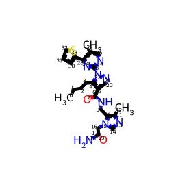 CCCCc1c(C(=O)NCc2c(C)ncn2CC(N)=O)cnn1-c1ncc(C)c(-c2cccs2)n1